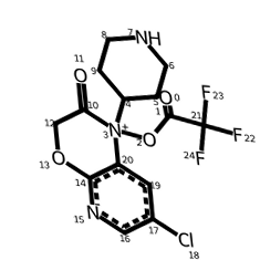 O=C(O[N+]1(C2CCNCC2)C(=O)COc2ncc(Cl)cc21)C(F)(F)F